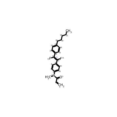 C=CC(=O)N(C)c1ccc(/C(F)=C(\F)c2ccc(CCCCC)cc2)cc1